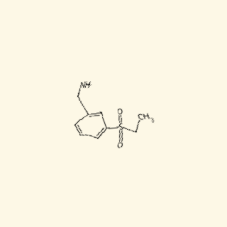 CCS(=O)(=O)c1cccc(C[NH])c1